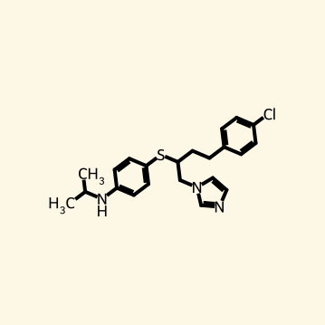 CC(C)Nc1ccc(SC(CCc2ccc(Cl)cc2)Cn2ccnc2)cc1